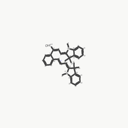 CN1C(=CC=C(C=O)c2ccccc2/C=C/C=C2N(C)c3ccccc3C2(C)C)C(C)(C)c2ccccc21